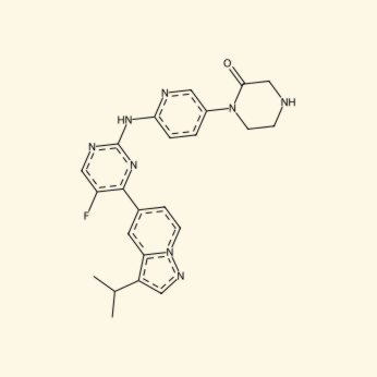 CC(C)c1cnn2ccc(-c3nc(Nc4ccc(N5CCNCC5=O)cn4)ncc3F)cc12